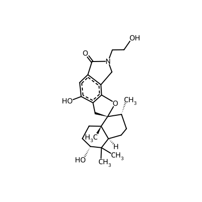 C[C@@H]1CC[C@H]2C(C)(C)[C@H](O)CC[C@]2(C)[C@@]12Cc1c(O)cc3c(c1O2)CN(CCO)C3=O